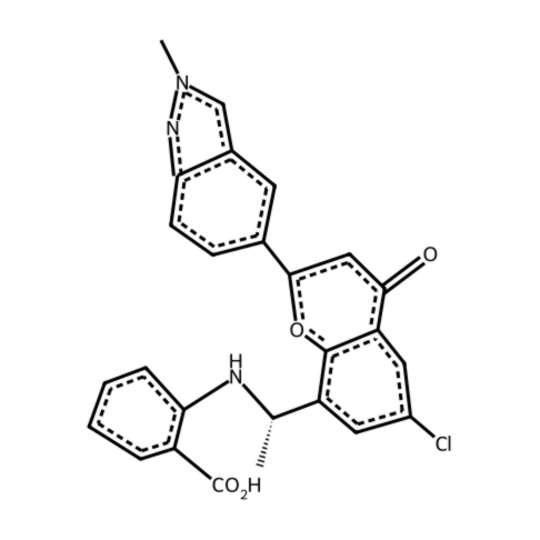 C[C@H](Nc1ccccc1C(=O)O)c1cc(Cl)cc2c(=O)cc(-c3ccc4nn(C)cc4c3)oc12